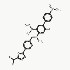 CN(C=O)c1cc(-c2ccc([S+](C)[O-])cc2)c(F)cc1N(C)Cc1ccc(-c2nnc(C(F)F)o2)cn1